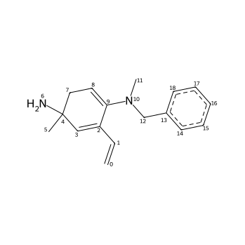 C=CC1=CC(C)(N)CC=C1N(C)Cc1ccccc1